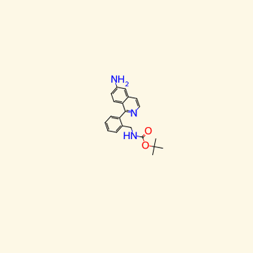 CC(C)(C)OC(=O)NCc1ccccc1-c1nccc2cc(N)ccc12